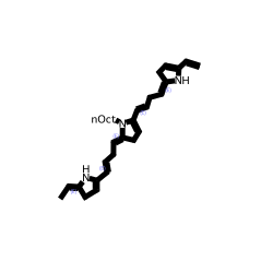 C=CC1=CC/C(=C\C/C=C/C2=CC/C(=C\C/C=C/C3=CC/C(=C\C)N3)N2CCCCCCCC)N1